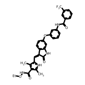 CCONC(=O)c1c(C)[nH]c(C=C2C(=O)Nc3cc(Oc4cccc(NC(=O)c5cccc(C(F)(F)F)c5)c4)ccc32)c1C